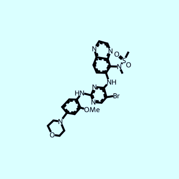 COc1cc(N2CCOCC2)ccc1Nc1ncc(Br)c(Nc2ccc3nccnc3c2N(C)S(C)(=O)=O)n1